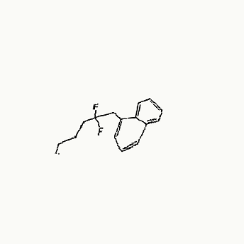 [CH2]CCCC(F)(F)Cc1cccc2ccccc12